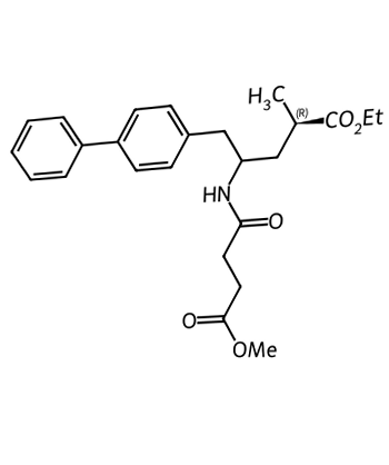 CCOC(=O)[C@H](C)CC(Cc1ccc(-c2ccccc2)cc1)NC(=O)CCC(=O)OC